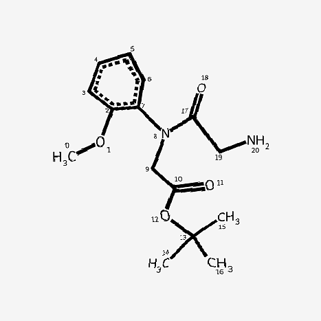 COc1ccccc1N(CC(=O)OC(C)(C)C)C(=O)CN